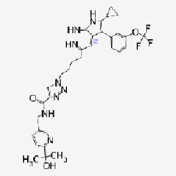 CC(C)(O)c1ccc(CNC(=O)c2cn(CCCCC(=N)/C=C3\C(=N)NC(C4CC4)=C3c3cccc(OC(F)(F)F)c3)nn2)cn1